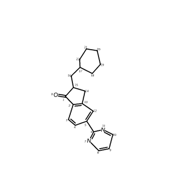 O=C1c2ccc(-c3ncccn3)cc2CC1CC1CCCCC1